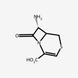 N[C@H]1C(=O)N2C(C(=O)O)=CSCC12